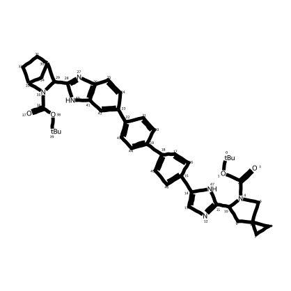 CC(C)(C)OC(=O)N1CC2(CC2)CC1c1ncc(-c2ccc(-c3ccc(-c4ccc5nc(C6C7CCC(C7)N6C(=O)OC(C)(C)C)[nH]c5c4)cc3)cc2)[nH]1